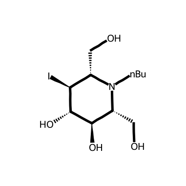 CCCCN1[C@H](CO)[C@@H](O)[C@H](O)[C@@H](I)[C@@H]1CO